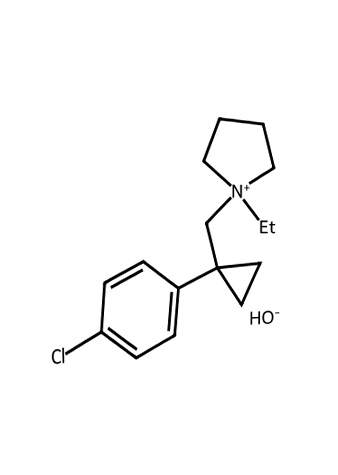 CC[N+]1(CC2(c3ccc(Cl)cc3)CC2)CCCC1.[OH-]